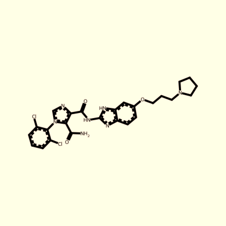 NC(=O)c1c(C(=O)Nc2nc3ccc(OCCCN4CCCC4)cc3[nH]2)ncn1-c1c(Cl)cccc1Cl